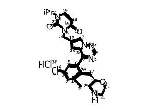 Cc1cc(Cl)cc(-c2ncnn3cc(Cn4c(=O)ccn(C(C)C)c4=O)cc23)c1C[C@@H]1CNCCO1.Cl